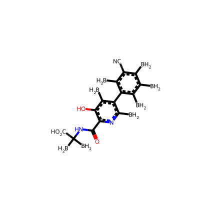 Bc1nc(C(=O)NC(B)(B)C(=O)O)c(O)c(B)c1-c1c(B)c(B)c(B)c(C#N)c1B